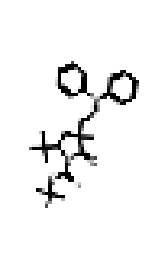 CC(C)(C)OC(=O)N1C(=O)C(C)(CO[SiH](c2ccccc2)c2ccccc2)CC1C(C)(C)C